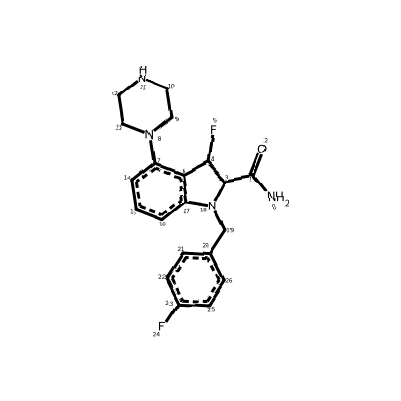 NC(=O)C1C(F)c2c(N3CCNCC3)cccc2N1Cc1ccc(F)cc1